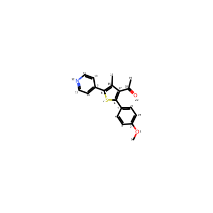 COc1ccc(-c2sc(-c3ccncc3)c(C)c2C(C)=O)cc1